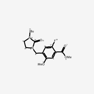 COC(=O)c1cc(OC)c(CN2CCN(C(C)(C)C)C2=O)cc1F